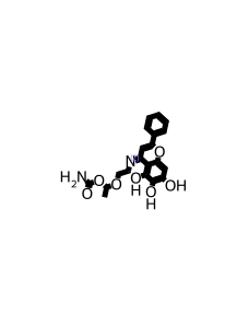 CC(OCC/N=c1/cc(-c2ccccc2)oc2cc(O)c(O)c(O)c12)OC(N)=O